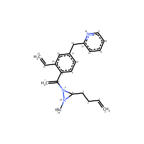 C=CCCC1N(C(=C)c2ccc(Cc3ccccn3)cc2C=C)N1C(C)(C)C